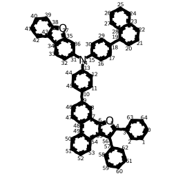 c1ccc(-c2oc3c4cc(-c5ccc(N(c6ccc(-c7cccc8ccccc78)cc6)c6ccc7c(c6)oc6ccccc67)cc5)ccc4c4ccccc4c3c2-c2ccccc2)cc1